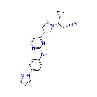 N#CCC(C1CC1)n1cc(-c2ccnc(Nc3ccc(-n4cccn4)cc3)n2)cn1